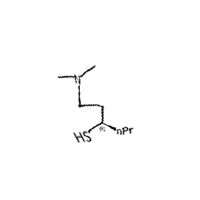 CCC[C@@H](S)CCN(C)C